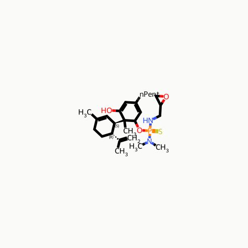 C=C(C)[C@@H]1CCC(C)=C[C@H]1C1(C)C(O)=CC(CCCCC)=CC1OP(=S)(NCC1CO1)N(C)C